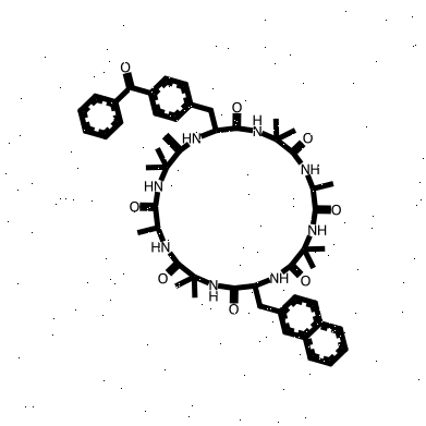 C=C1NC(Cc2ccc(C(=O)c3ccccc3)cc2)C(=O)NC(C)(C)C(=O)NC(C)C(=O)NC(C)(C)C(=O)NC(Cc2ccc3ccccc3c2)C(=O)NC(C)(C)C(=O)NC(C)C(=O)NC1(C)C